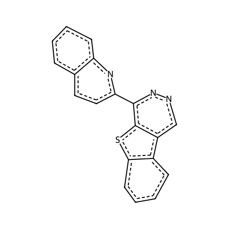 c1ccc2nc(-c3nncc4c3sc3ccccc34)ccc2c1